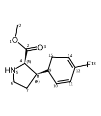 COC(=O)[C@@H]1NCC[C@@H]1C1C=CC(F)=CC1